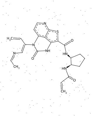 C=CC(=O)N[C@@H]1CCC[C@@H]1NC(=O)c1sc2nccc3c2c1NC(=O)N3/C(C=C)=C/N=C\C